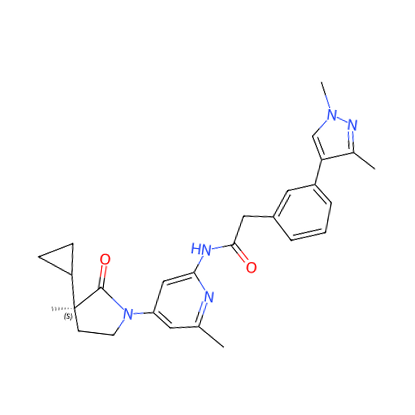 Cc1cc(N2CC[C@@](C)(C3CC3)C2=O)cc(NC(=O)Cc2cccc(-c3cn(C)nc3C)c2)n1